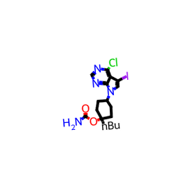 CCCCC1(OC(N)=O)CCC(n2cc(I)c3c(Cl)ncnc32)CC1